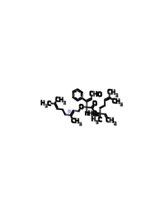 C=CC(C)(CCC=C(C)C)OC(=O)C(CCCCCC)(OC/C=C(\C)CCC=C(C)C)C(=CC=O)c1ccccc1